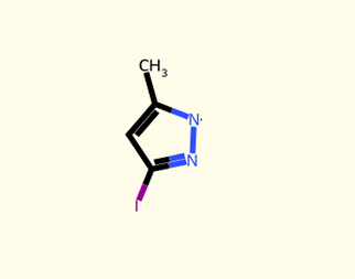 CC1=CC(I)=N[N]1